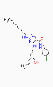 C=CCCCCCCNc1ncc(C(=O)NCc2ccc(F)cc2)c(NCCCC(CO)CC=C)n1